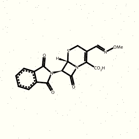 CON=CC1=C(C(=O)O)N2C(=O)[C@@H](N3C(=O)c4ccccc4C3=O)[C@@H]2SC1